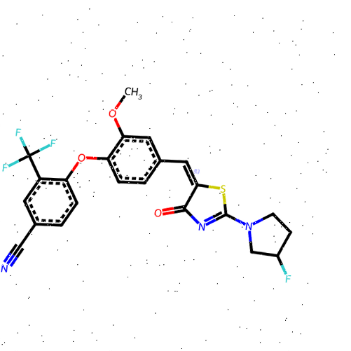 COc1cc(/C=C2/SC(N3CCC(F)C3)=NC2=O)ccc1Oc1ccc(C#N)cc1C(F)(F)F